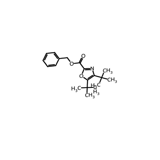 CC(C)(C)c1nc(C(=O)OCc2ccccc2)oc1C(C)(C)C